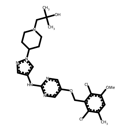 COc1cc(C)c(Cl)c(COc2cnc(Nc3cnn(C4CCN(CC(C)(C)O)CC4)c3)nc2)c1Cl